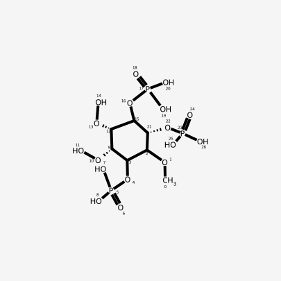 COC1C(OP(=O)(O)O)[C@H](OO)[C@H](OO)C(OP(=O)(O)O)[C@@H]1OP(=O)(O)O